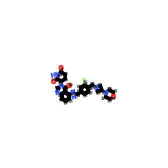 O=C1CCC(n2cnc3cccc(NCc4ccc(CN5CC(N6CCOCC6)C5)c(F)c4)c3c2=O)C(=O)N1